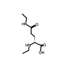 CCNC(=O)CC[C@@H](NCC)C(=O)O